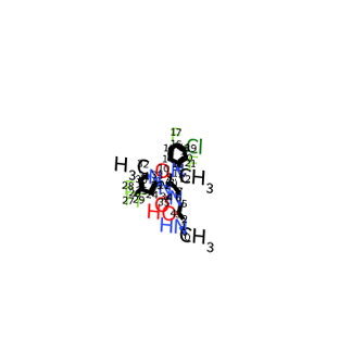 CNCC(O)CN1C[C@@H](C(=O)N(C)c2ccc(F)c(Cl)c2F)N(c2cc(C(F)(F)F)cc(C)n2)C1=O